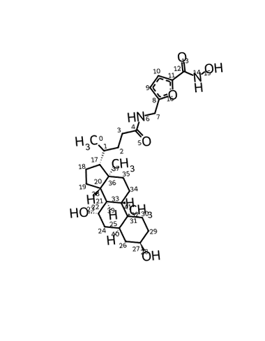 CC(CCC(=O)NCc1ccc(C(=O)NO)o1)[C@H]1CC[C@H]2[C@@H]3[C@@H](O)C[C@@H]4C[C@H](O)CC[C@]4(C)[C@H]3CC[C@]12C